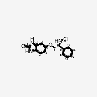 O=c1[nH]c2ccc(OC[C@H](NCl)c3ccccc3)cc2[nH]1